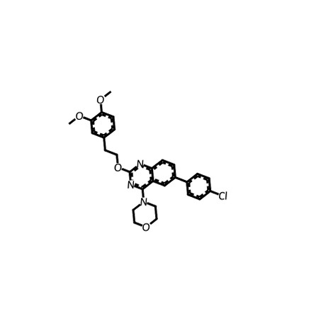 COc1ccc(CCOc2nc(N3CCOCC3)c3cc(-c4ccc(Cl)cc4)ccc3n2)cc1OC